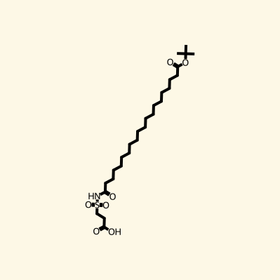 CC(C)(C)OC(=O)CCCCCCCCCCCCCCCCCCC(=O)NS(=O)(=O)CCC(=O)O